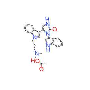 CC(=O)O.CN(C)CCCn1cc(-c2c[nH]c(=O)n2-c2c[nH]c3ccccc23)c2ccccc21